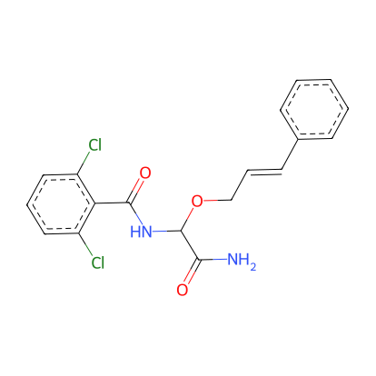 NC(=O)C(NC(=O)c1c(Cl)cccc1Cl)OC/C=C/c1ccccc1